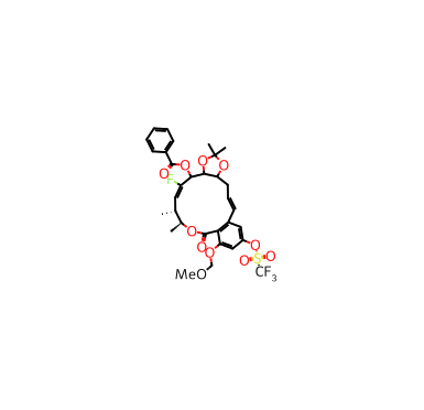 COCOc1cc(OS(=O)(=O)C(F)(F)F)cc2c1C(=O)O[C@@H](C)[C@H](C)/C=C(/F)C(OC(=O)c1ccccc1)C1OC(C)(C)OC1C/C=C/2